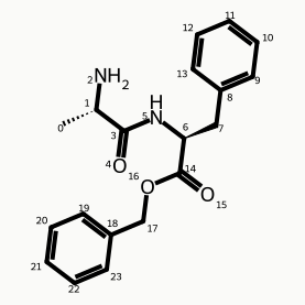 C[C@H](N)C(=O)N[C@@H](Cc1ccccc1)C(=O)OCc1ccccc1